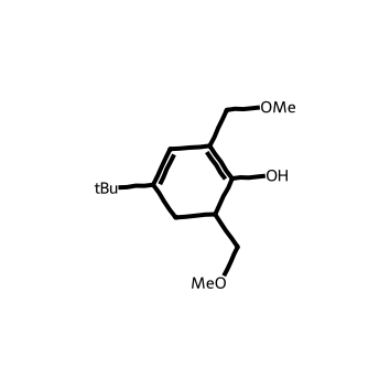 COCC1=C(O)C(COC)CC(C(C)(C)C)=C1